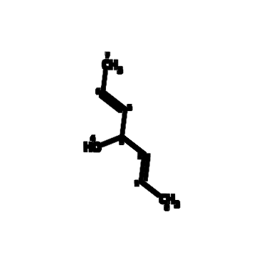 CC=CC(O)C=CC